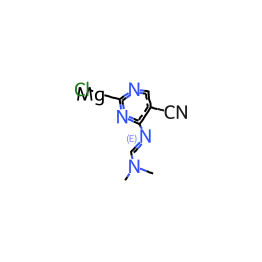 CN(C)/C=N/c1n[c]([Mg][Cl])ncc1C#N